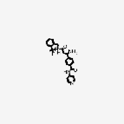 NC(CC(=O)NCc1ccccc1C(F)(F)F)c1ccc(C(=O)Nc2ccncc2)cc1